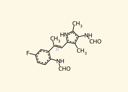 C/C(=C\c1[nH]c(C)c(NC=O)c1C)c1cc(F)ccc1NC=O